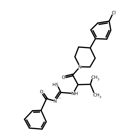 CC(C)C(N/C(S)=N/C(=O)c1ccccc1)C(=O)N1CCC(c2ccc(Cl)cc2)CC1